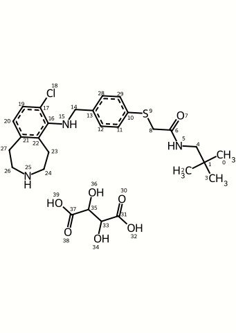 CC(C)(C)CNC(=O)CSc1ccc(CNc2c(Cl)ccc3c2CCNCC3)cc1.O=C(O)C(O)C(O)C(=O)O